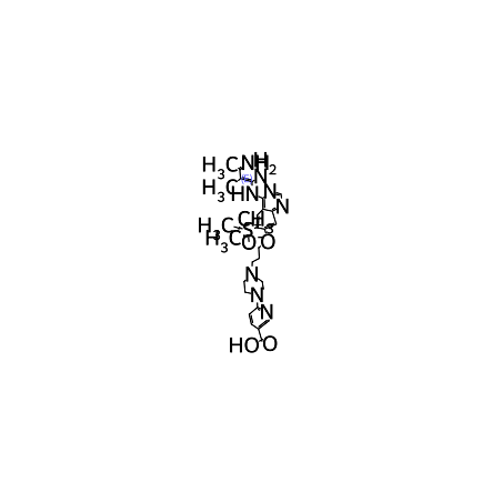 CC(=N)/C(C)=C(\N)Nc1ncnc2cc(OCCCN3CCN(c4ccc(C(=O)O)cn4)CC3)c([S+]([O-])C(C)(C)C)cc12